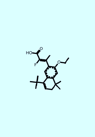 CCOc1cc2c(cc1C(C)=C(F)C(=O)O)C(C(C)(C)C)=CCC2(C)C